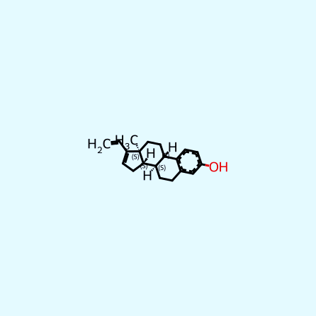 C=CC1=CC[C@H]2[C@@H]3CCc4cc(O)ccc4[C@H]3CC[C@]12C